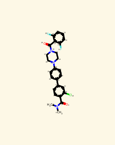 CN(C)C(=O)c1ccc(-c2ccc(N3CCN(C(=O)c4c(F)cccc4F)CC3)cc2)cc1Cl